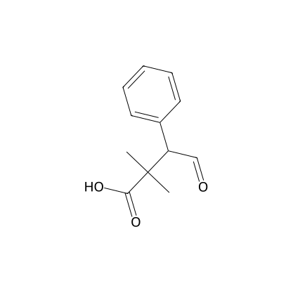 CC(C)(C(=O)O)C(C=O)c1ccccc1